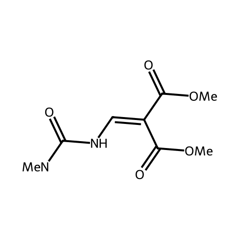 CNC(=O)NC=C(C(=O)OC)C(=O)OC